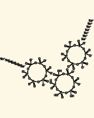 O=P1([O-])OP(=O)([O-])OP(=O)(O)OP(=O)(O)OP(=O)(O)OP(=O)(O)O1.O=P1([O-])OP(=O)([O-])OP(=O)([O-])OP(=O)([O-])OP(=O)([O-])OP(=O)([O-])O1.O=P1([O-])OP(=O)([O-])OP(=O)([O-])OP(=O)([O-])OP(=O)([O-])OP(=O)([O-])O1.[Na+].[Na+].[Na+].[Na+].[Na+].[Na+].[Na+].[Na+].[Na+].[Na+].[Na+].[Na+].[Na+].[Na+]